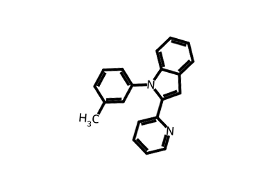 Cc1cccc(-n2c(-c3ccccn3)cc3ccccc32)c1